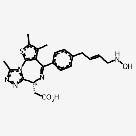 Cc1sc2c(c1C)C(c1ccc(CC=CCNO)cc1)=N[C@H](CC(=O)O)c1nnc(C)n1-2